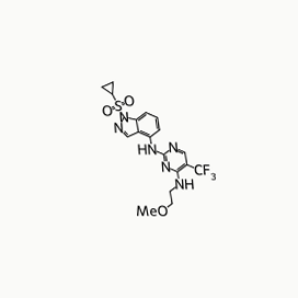 COCCNc1nc(Nc2cccc3c2cnn3S(=O)(=O)C2CC2)ncc1C(F)(F)F